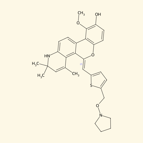 COc1c(O)ccc2c1-c1ccc3c(c1/C(=C/c1ccc(CON4CCCC4)s1)O2)C(C)=CC(C)(C)N3